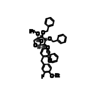 CCOc1ccc(Cc2cc([C@]34OC[C@](OC(C)C)(O3)[C@@H](OCc3ccccc3)[C@H](OCc3ccccc3)[C@H]4OCc3ccccc3)ccc2Cl)cc1F